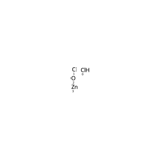 Cl.[C].[O].[Zn]